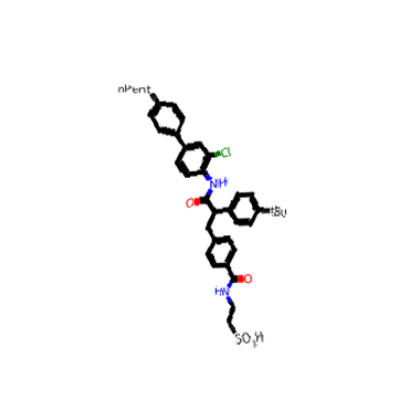 CCCCCc1ccc(-c2ccc(NC(=O)C(Cc3ccc(C(=O)NCCS(=O)(=O)O)cc3)c3ccc(C(C)(C)C)cc3)c(Cl)c2)cc1